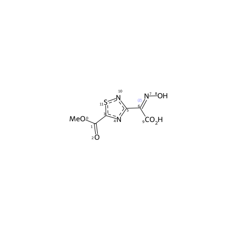 COC(=O)c1nc(/C(=N/O)C(=O)O)ns1